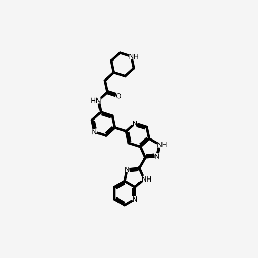 O=C(CC1CCNCC1)Nc1cncc(-c2cc3c(-c4nc5cccnc5[nH]4)n[nH]c3cn2)c1